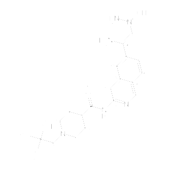 CN(N)/C=C(\N)c1ccc2cnc(NC(=O)C3CCN(CC(C)(C)F)CC3)cc2c1